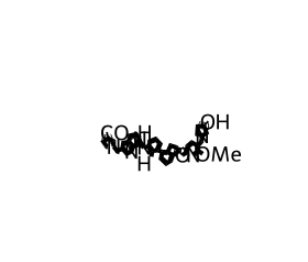 COc1nc(O[C@@H]2CCc3c(-c4cccc(Nc5nccc6cc(CN7CC[C@@H](C(=O)O)C7)cnc56)c4C)cccc32)ccc1CN1CC[C@@H](O)C1